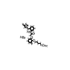 Br.CCCCCCCCCCCCCCOc1c(F)cccc1OCC(=O)Nc1ccccc1CN1C=C(C)SC1